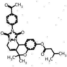 CC(=O)c1ccc(-n2c(=O)n3n(c2=O)C2C(=CC3)C(C)(C)Oc3cc(OC(=O)CC(C)C)ccc32)cc1